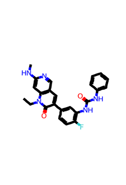 CCn1c(=O)c(-c2ccc(F)c(NC(=O)Nc3ccccc3)c2)cc2cnc(NC)cc21